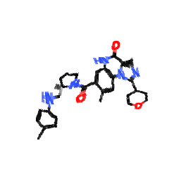 Cc1ccc(NC[C@@H]2CCCN2C(=O)c2cc3[nH]c(=O)c4cnc(C5CCOCC5)n4c3cc2C)cc1